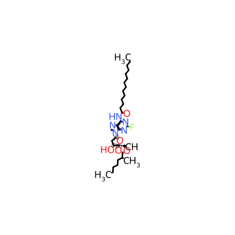 C#C[C@]1(OC(=O)C(C)CCCCC)O[C@@H](n2cnc3c(NC(=O)CCCCCCCCCCCCC)nc(F)nc32)C[C@@H]1O